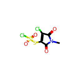 CN1C(=O)C(Cl)=C(SS(=O)(=O)Cl)C1=O